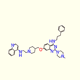 CN1CCN(c2nc(NCCCc3ccccc3)c3ccc(OCC4CCN(CCNc5ccnc6ccccc56)CC4)cc3n2)CC1